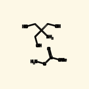 CO[Si](=O)ON.NC(CO)(CO)CO